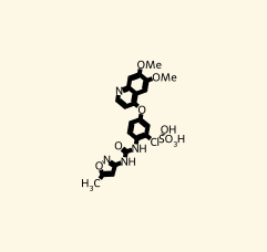 COc1cc2nccc(Oc3ccc(NC(=O)Nc4cc(C)on4)c(Cl)c3)c2cc1OC.O=S(=O)(O)O